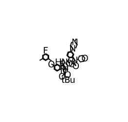 Cc1cc(F)cc(COc2ccc3c(c2)c(NC(=O)c2ccc(N4CCN(C)CC4)cc2N(C(=O)C(F)(F)F)C2CCOCC2)nn3C(=O)OC(C)(C)C)c1